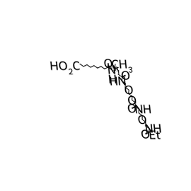 CCC(=O)NCCOCCNC(=O)COCCOCCNC(=O)CC[C@H](C)NC(=O)CCCCCCCCC(=O)O